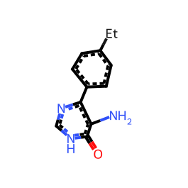 CCc1ccc(-c2nc[nH]c(=O)c2N)cc1